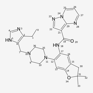 CCc1nc[nH]c1CN1CCN(c2cc3c(cc2NC(=O)c2cnn4cccnc24)CC(C)(C)O3)CC1